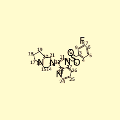 O=S(=O)(c1cccc(F)c1)n1cc(N2CCN3CCCC3C2)c2ncccc21